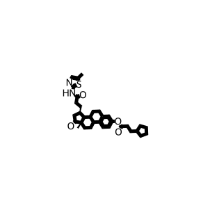 Cc1cnc(NC(=O)CC[C@@H]2CC(=O)[C@@]3(C)CCC4c5ccc(OC(=O)CCC6CCCC6)cc5CCC4C23)s1